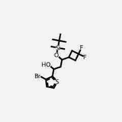 CC(C)(C)[Si](C)(C)OC(CC(O)c1sccc1Br)C1CC(F)(F)C1